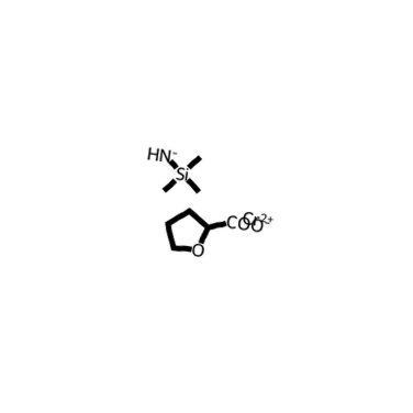 C[Si](C)(C)[NH-].O=C([O-])C1CCCO1.[Cr+2]